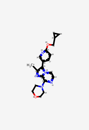 Cc1nc2c(N3CCOCC3)nccn2c1-c1ccc(OCC2CC2)nc1